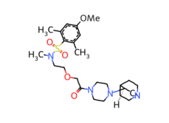 COc1cc(C)c(S(=O)(=O)N(C)CCOCC(=O)N2CCN([C@@H]3CN4CCC3CC4)CC2)c(C)c1